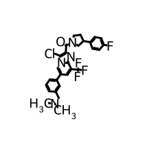 CN(C)Cc1cccc(-c2cc(C(F)(F)F)c3nc(C(=O)N4CCC(c5ccc(F)cc5)C4)c(Cl)n3c2)c1